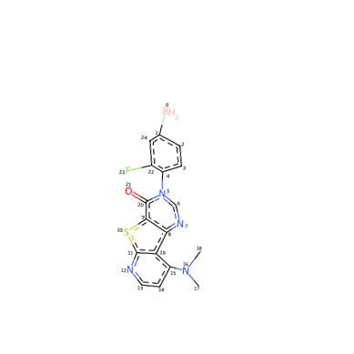 Bc1ccc(-n2cnc3c(sc4nccc(N(C)C)c43)c2=O)c(F)c1